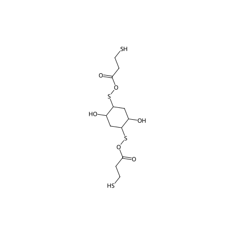 O=C(CCS)OSC1CC(O)C(SOC(=O)CCS)CC1O